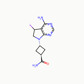 Nc1ncnc2c1C(I)CN2[C@H]1C[C@H](C(N)=O)C1